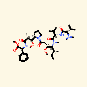 CC[C@H](C)[C@@H]([C@@H](CC(=O)N1CCC[C@H]1[C@H](OC)[C@@H](C)C(=O)NC(C(=O)OC)c1ccccc1)OC)N(C)C(=O)[C@@H](NC(=O)[C@H](C(C)C)N(C)C)C(C)C